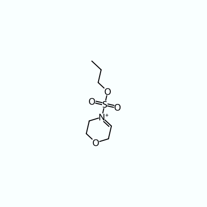 CCCOS(=O)(=O)[N+]1=CCOCC1